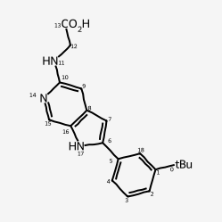 CC(C)(C)c1cccc(-c2cc3cc(NCC(=O)O)ncc3[nH]2)c1